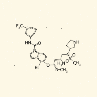 CCc1c(OC(/C=C(\N)CN(C2CCNC2)S(C)(=O)=O)=N/C)ccc2c1ccn2C(=O)Nc1cccc(C(F)(F)F)c1